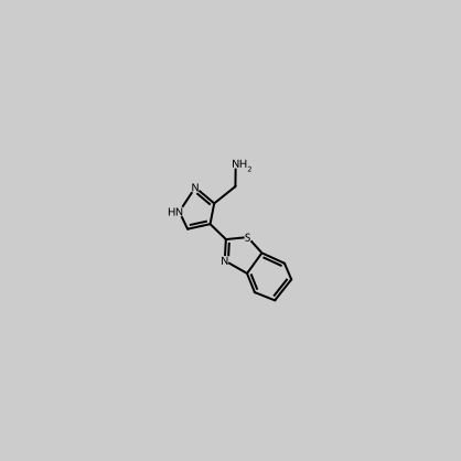 NCc1n[nH]cc1-c1nc2ccccc2s1